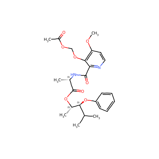 COc1ccnc(C(=O)N[C@@H](C)C(=O)O[C@@H](C)[C@@H](Oc2ccccc2)C(C)C)c1OCOC(C)=O